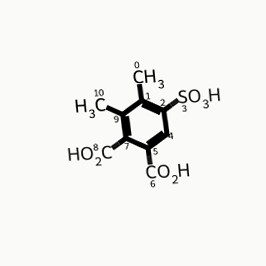 Cc1c(S(=O)(=O)O)cc(C(=O)O)c(C(=O)O)c1C